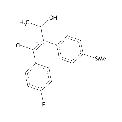 CSc1ccc(/C(=C(/Cl)c2ccc(F)cc2)C(C)O)cc1